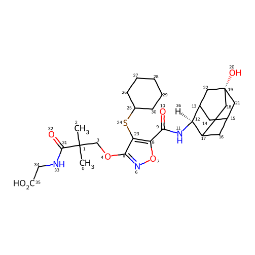 CC(C)(COc1noc(C(=O)N[C@H]2C3CC4CC2C[C@](O)(C4)C3)c1SC1CCCCC1)C(=O)NCC(=O)O